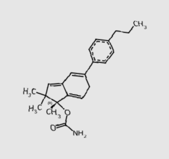 CCCc1ccc(C2=CC3=CC(C)(C)[C@@](C)(OC(N)=O)C3=CC2)cc1